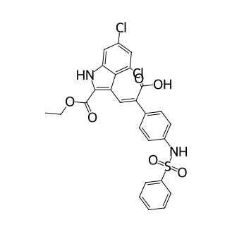 CCOC(=O)c1[nH]c2cc(Cl)cc(Cl)c2c1/C=C(\C(=O)O)c1ccc(NS(=O)(=O)c2ccccc2)cc1